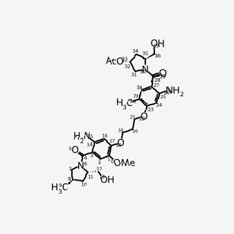 COc1cc(C(=O)N2C[C@H](C)C[C@H]2CO)c(N)cc1OCCCOc1cc(N)c(C(=O)N2C[C@H](OC(C)=O)C[C@H]2CO)cc1C